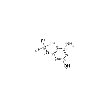 Nc1cc(O)cc(OC(F)(F)F)c1